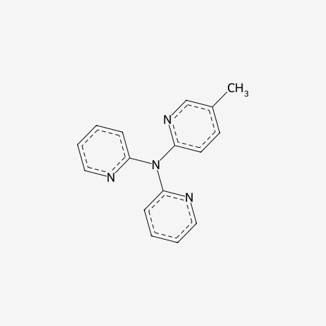 Cc1ccc(N(c2ccccn2)c2ccccn2)nc1